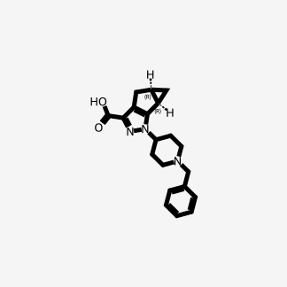 O=C(O)c1nn(C2CCN(Cc3ccccc3)CC2)c2c1C[C@H]1C[C@@H]21